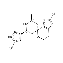 C[C@H]1C[C@@]2(C[C@@H](c3cc(C(F)(F)F)[nH]n3)N1)OCCc1cc(Cl)sc12